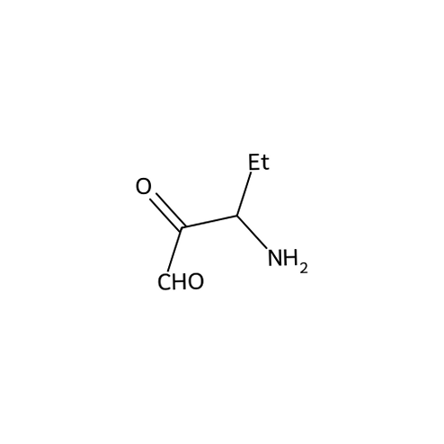 CCC(N)C(=O)C=O